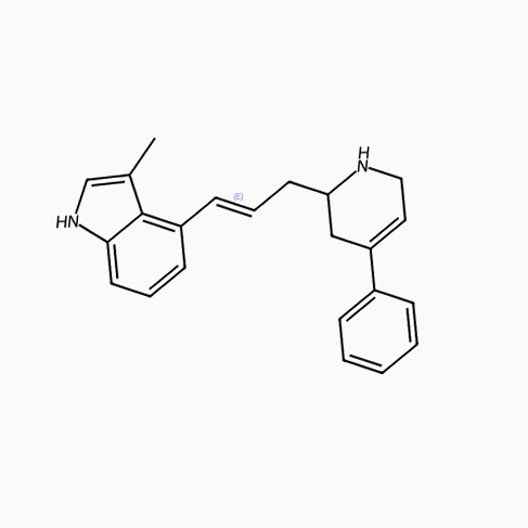 Cc1c[nH]c2cccc(/C=C/CC3CC(c4ccccc4)=CCN3)c12